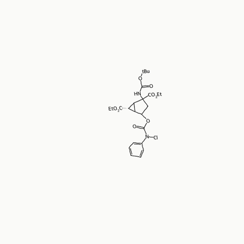 CCOC(=O)[C@H]1C2C(OC(=O)N(Cl)c3ccccc3)CC(NC(=O)OC(C)(C)C)(C(=O)OCC)C21